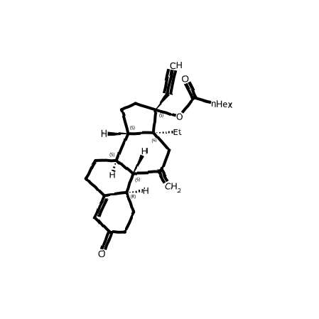 C#C[C@]1(OC(=O)CCCCCC)CC[C@H]2[C@@H]3CCC4=CC(=O)CC[C@@H]4[C@H]3C(=C)C[C@@]21CC